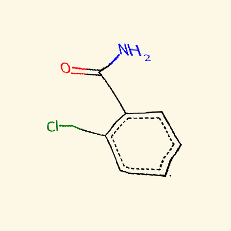 NC(=O)c1cc[c]cc1Cl